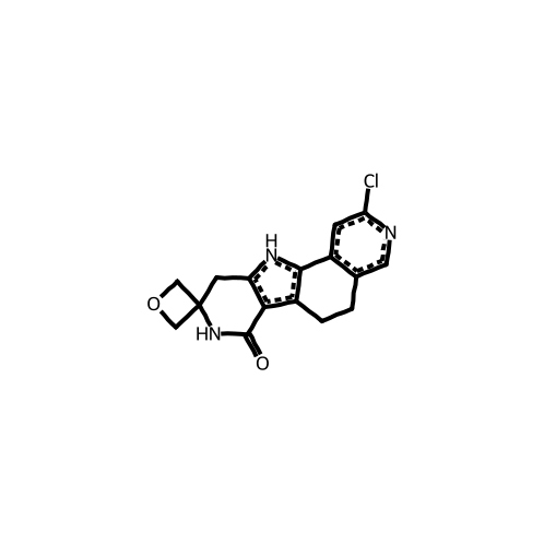 O=C1NC2(COC2)Cc2[nH]c3c(c21)CCc1cnc(Cl)cc1-3